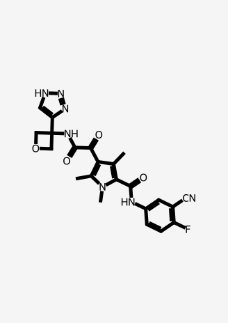 Cc1c(C(=O)C(=O)NC2(c3c[nH]nn3)COC2)c(C)n(C)c1C(=O)Nc1ccc(F)c(C#N)c1